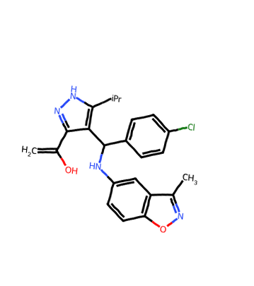 C=C(O)c1n[nH]c(C(C)C)c1C(Nc1ccc2onc(C)c2c1)c1ccc(Cl)cc1